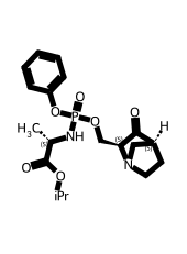 CC(C)OC(=O)[C@H](C)NP(=O)(OC[C@H]1C(=O)[C@H]2CCN1C2)Oc1ccccc1